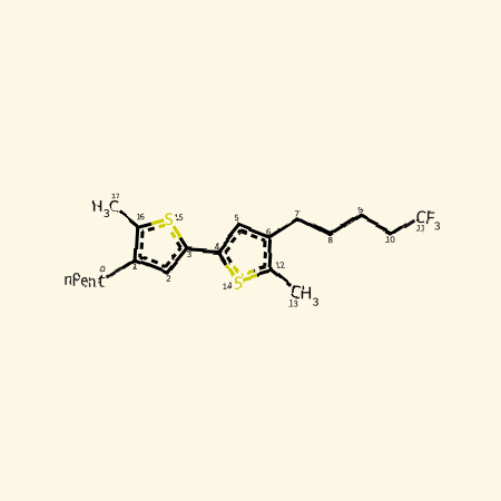 CCCCCc1cc(-c2cc(CCCCC(F)(F)F)c(C)s2)sc1C